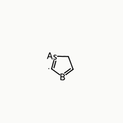 B1=CC[As]=[C]1